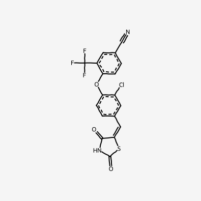 N#Cc1ccc(Oc2ccc(/C=C3/SC(=O)NC3=O)cc2Cl)c(C(F)(F)F)c1